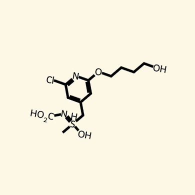 C[SH](O)(Cc1cc(Cl)nc(OCCCCO)c1)=NC(=O)O